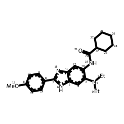 CCN(CC)c1cc2[nH]c(-c3ccc(OC)cc3)nc2cc1NC(=O)C1CCCCC1